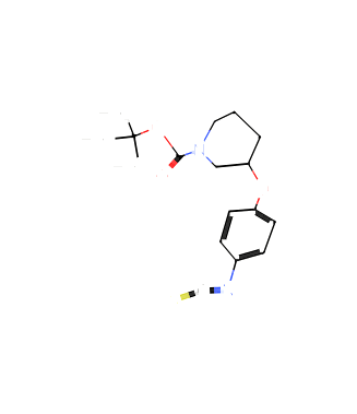 CC(C)(C)OC(=O)N1CCCC(Oc2ccc(N=C=S)cc2)C1